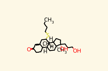 CCCCS[C@@H]1CC2=CC(=O)CC[C@]2(C)[C@H]2CC[C@@]3(C)[C@@H](CC[C@@]3(O)CCCO)[C@H]12